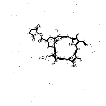 C=Cc1c(C)c2cc3nc(c(CC(=O)O)c4[nH]c(cc5nc(cc1[nH]2)C(C)=C5CC)c(C)c4C(=O)O)C(CCC(=O)ON1C(=O)CCC1=O)[C@@H]3C